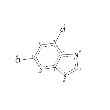 Clc1cc(Cl)c2n[c]sc2c1